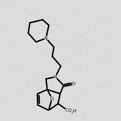 O=C(O)C1C2C=CC3(CN(CCCN4CCCCC4)C(=O)C13)O2